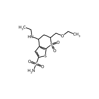 CCNC1CC(COCC)S(=O)(=O)c2sc(S(N)(=O)=O)cc21